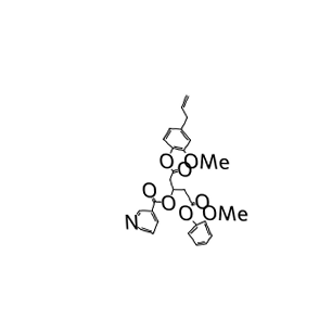 C=CCc1ccc(OC(=O)CC(CC(=O)Oc2ccccc2OC)OC(=O)c2cccnc2)c(OC)c1